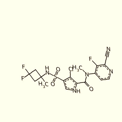 CN(C(=O)c1[nH]cc(S(=O)(=O)NC2(C)CC(F)(F)C2)c1Cl)c1ccnc(C#N)c1F